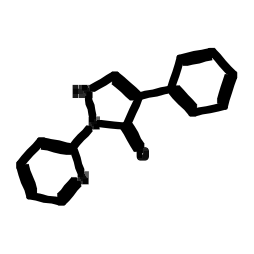 O=c1c(-c2ccccc2)c[nH]n1-c1ccccn1